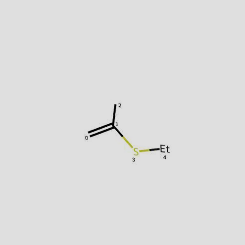 C=C(C)SCC